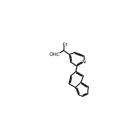 [CH2]CC(C=O)c1ccnc(-c2ccc3ccccc3c2)c1